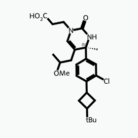 COC(C)CC1=CN(CCC(=O)O)C(=O)N[C@@]1(C)c1ccc(C2CC(C(C)(C)C)C2)c(Cl)c1